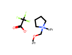 CCC[N+]1(COC(C)C)CCCC1.O=C([O-])C(F)(F)F